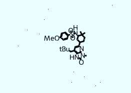 COc1ccc(S(=O)(=O)NC2CC(c3cc(CC(C)(C)C)c4[nH]c(=O)n(C)c4n3)CCC2(C)C)cc1